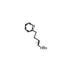 CCCC/C=C/CCc1ccccn1